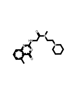 Cc1cccc2nc(NCC(=O)N(C)CCN3CCCCC3)oc(=O)c12